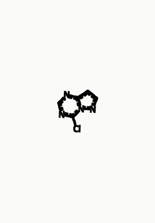 Clc1ncnc2ccnn12